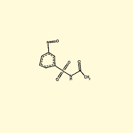 CC(=O)NS(=O)(=O)c1cccc(N=O)c1